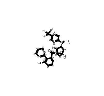 CN(c1cnc(C(F)(F)F)cn1)[C@@H]1C[C@H]2C[C@@H]1N(C(=O)c1cccc(F)c1-c1ncccn1)C2